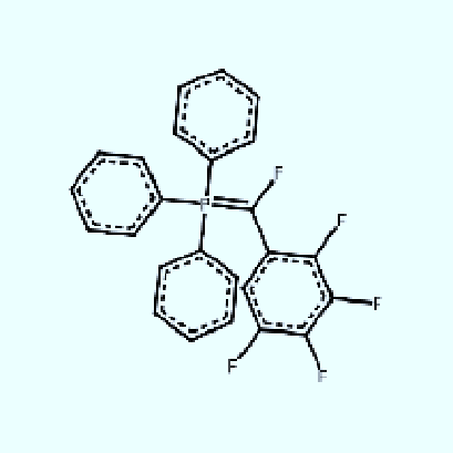 FC(c1cc(F)c(F)c(F)c1F)=P(c1ccccc1)(c1ccccc1)c1ccccc1